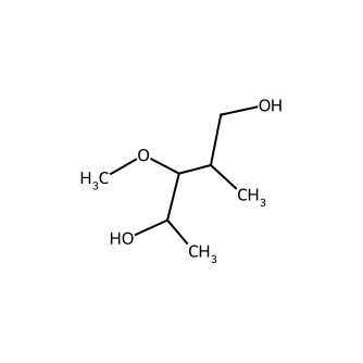 COC(C(C)O)C(C)CO